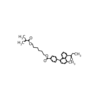 C=C(C)C(=O)OCCCCCCOC(=O)c1ccc(-c2ccc(C)c3c(C(=O)CC)cccc23)cc1